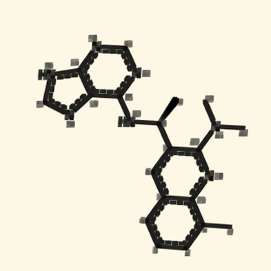 Cc1cccc2cc([C@H](C)Nc3ncnc4[nH]cnc34)c(N(C)C)nc12